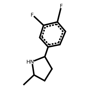 CC1CCC(c2ccc(F)c(F)c2)N1